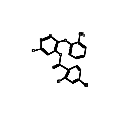 Cc1ccccc1Oc1nnc(Cl)cc1OC(=O)c1ccc(Cl)cc1Cl